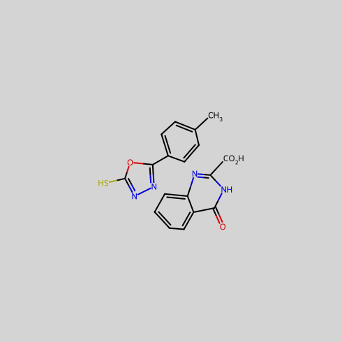 Cc1ccc(-c2nnc(S)o2)cc1.O=C(O)c1nc2ccccc2c(=O)[nH]1